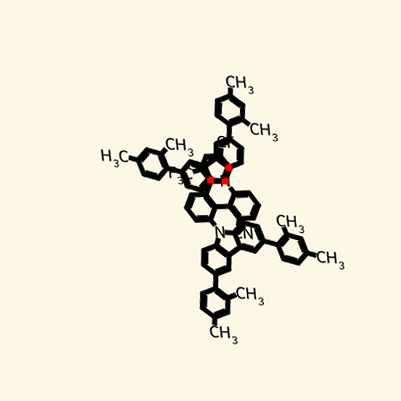 Cc1ccc(-c2ccc3c(c2)c2cc(-c4ccc(C)cc4C)ccc2n3-c2cccc(C#N)c2-c2c(-c3ccc(C(F)(F)F)cc3C(F)(F)F)cccc2-n2c3ccc(-c4ccc(C)cc4C)cc3c3cc(-c4ccc(C)cc4C)ccc32)c(C)c1